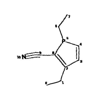 CCc1ccp(CC)c1C#N